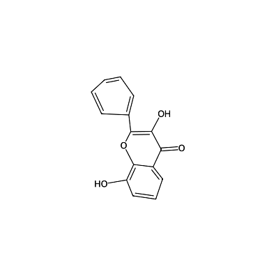 O=c1c(O)c(-c2ccccc2)oc2c(O)cccc12